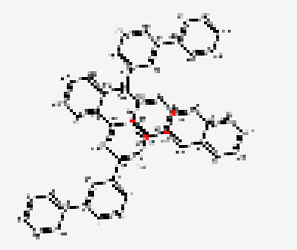 c1ccc(-c2cccc(-c3nc(-c4ccc5ccccc5c4)nc(-c4ccccc4N(c4ccccc4)c4cccc(-c5ccccc5)c4)n3)c2)cc1